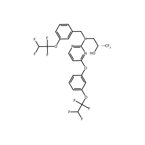 O[C@H](CN(Cc1cccc(OC(F)(F)C(F)F)c1)c1nccc(Oc2cccc(OC(F)(F)C(F)F)c2)n1)C(F)(F)F